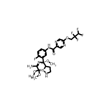 COC1(OC)C(N)=N[C@@](OC)(c2cc(NC(=O)c3cnc(OCC(F)(F)C(F)F)cn3)ccc2F)C2CCN[SH]21